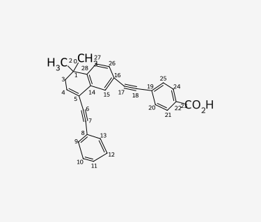 CC1(C)CC=C(C#Cc2ccccc2)c2cc(C#Cc3ccc(C(=O)O)cc3)ccc21